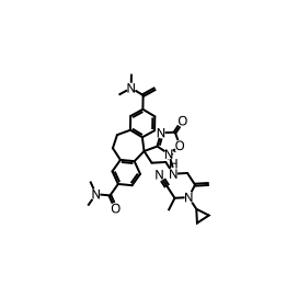 C=C(c1ccc2c(c1)CCc1cc(C(=O)N(C)C)ccc1C2(C[C@H](C)NCC(=C)N(C(C)C#N)C1CC1)c1nc(=O)on1C)N(C)C